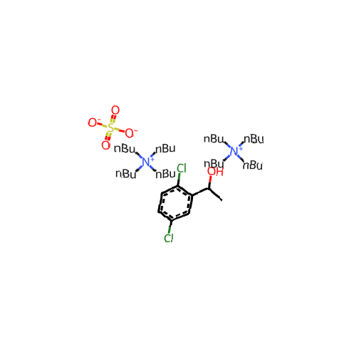 CC(O)c1cc(Cl)ccc1Cl.CCCC[N+](CCCC)(CCCC)CCCC.CCCC[N+](CCCC)(CCCC)CCCC.O=S(=O)([O-])[O-]